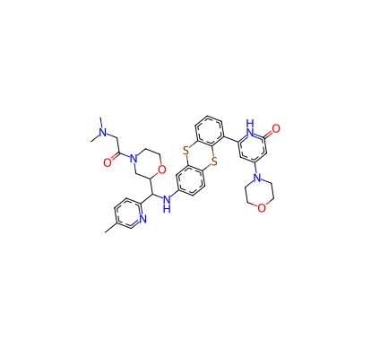 Cc1ccc(C(Nc2ccc3c(c2)Sc2cccc(-c4cc(N5CCOCC5)cc(=O)[nH]4)c2S3)C2CN(C(=O)CN(C)C)CCO2)nc1